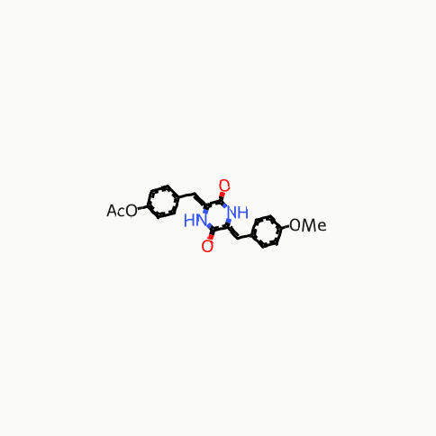 COc1ccc(C=c2[nH]c(=O)c(=Cc3ccc(OC(C)=O)cc3)[nH]c2=O)cc1